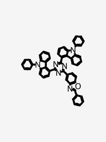 c1ccc(-c2nc3cc(-c4nc(-c5cccc6c5c5ccccc5n6-c5ccccc5)nc(-c5cccc6c5c5ccccc5n6-c5ccccc5)n4)ccc3o2)cc1